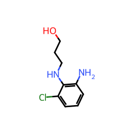 Nc1cccc(Cl)c1NCCCO